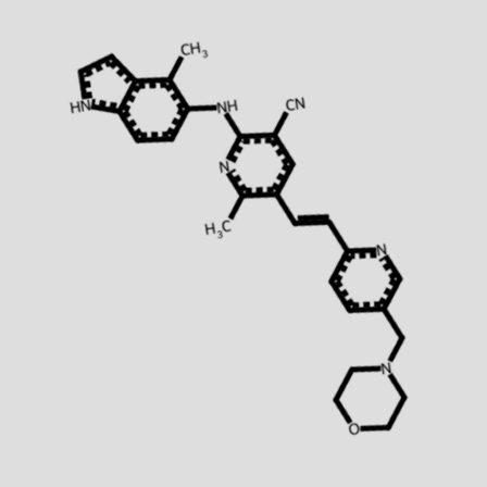 Cc1nc(Nc2ccc3[nH]ccc3c2C)c(C#N)cc1C=Cc1ccc(CN2CCOCC2)cn1